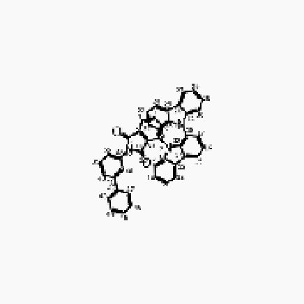 O=C1c2cccc(-n3c4ccccc4c4cccc(-n5c6ccccc6c6ccccc65)c43)c2C(=O)N1c1cccc(-c2ccccc2)c1